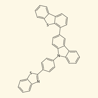 c1ccc2sc(-c3ccc(-n4c5ccccc5c5cc(-c6cccc7c6sc6ccccc67)ccc54)cc3)nc2c1